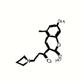 Cc1cc(O)cc2oc(=O)c(C(=O)CCN3CCC3)cc12.Cl